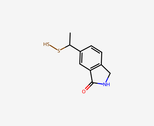 CC(SS)c1ccc2c(c1)C(=O)NC2